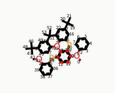 COc1ccccc1[P@](c1ccccc1)c1cc(C(C)(C)C)cc2c1Oc1c([P@@](c3ccccc3)c3ccccc3OC)cc(C(C)(C)C)cc1C2(C)C